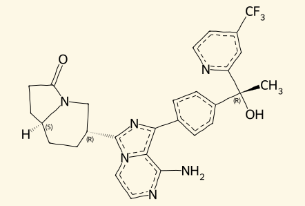 C[C@@](O)(c1ccc(-c2nc([C@@H]3CC[C@H]4CCC(=O)N4C3)n3ccnc(N)c23)cc1)c1cc(C(F)(F)F)ccn1